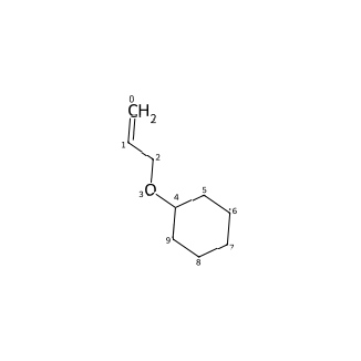 C=CCOC1C[CH]CCC1